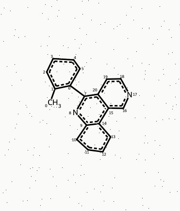 Cc1ccccc1-c1nc2ccccc2c2cnccc12